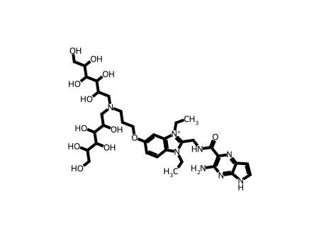 CCn1c(CNC(=O)c2nc3cc[nH]c3nc2N)[n+](CC)c2cc(OCCCN(CC(O)C(O)C(O)C(O)CO)CC(O)C(O)C(O)C(O)CO)ccc21